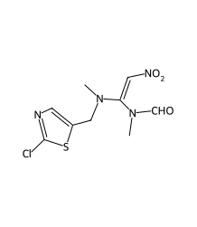 CN(C=O)C(=C[N+](=O)[O-])N(C)Cc1cnc(Cl)s1